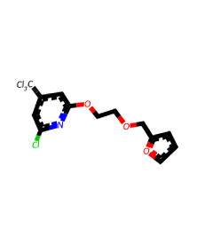 Clc1cc(C(Cl)(Cl)Cl)cc(OCCOCc2ccco2)n1